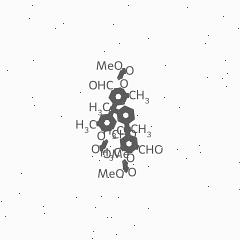 COC(=O)COc1c(C)cc(C(C)(C)c2cccc(C(C)(c3cc(C)c(OCC(=O)OC)c(C=O)c3)c3cc(C)c(OCC(=O)OC)c(C=O)c3)c2)cc1C=O